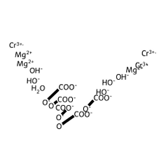 O.O=C([O-])[O-].O=C([O-])[O-].O=C([O-])[O-].O=C([O-])[O-].O=C([O-])[O-].[Cr+3].[Cr+3].[Cr+3].[Mg+2].[Mg+2].[Mg+2].[OH-].[OH-].[OH-].[OH-].[OH-]